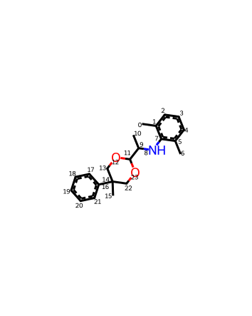 Cc1cccc(C)c1NC(C)C1OCC(C)(c2ccccc2)CO1